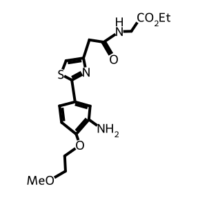 CCOC(=O)CNC(=O)Cc1csc(-c2ccc(OCCOC)c(N)c2)n1